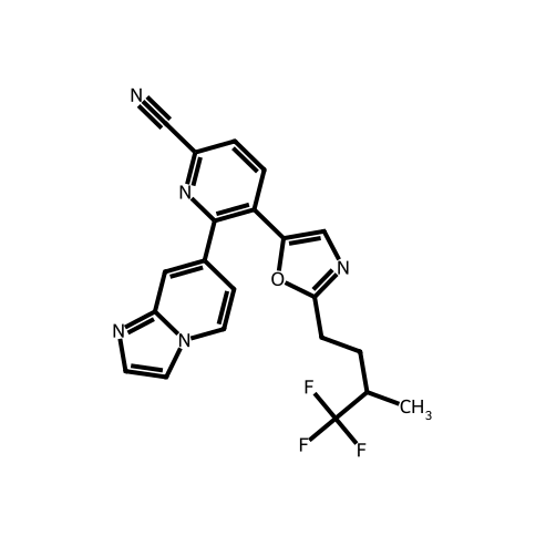 CC(CCc1ncc(-c2ccc(C#N)nc2-c2ccn3ccnc3c2)o1)C(F)(F)F